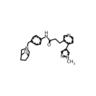 Cn1cc(-c2ccncc2CCC(=O)Nc2ccc(CN3CC4CCC(C3)O4)cc2)cn1